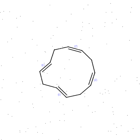 C1=C\C/C=C/C/C=C/C/C=C\C/1